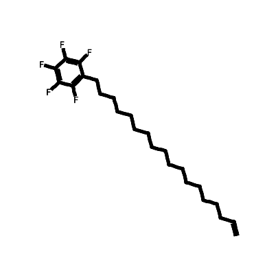 C=CCCCCCCCCCCCCCCCCc1c(F)c(F)c(F)c(F)c1F